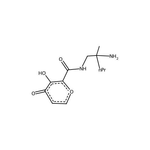 CCCC(C)(N)CNC(=O)c1occc(=O)c1O